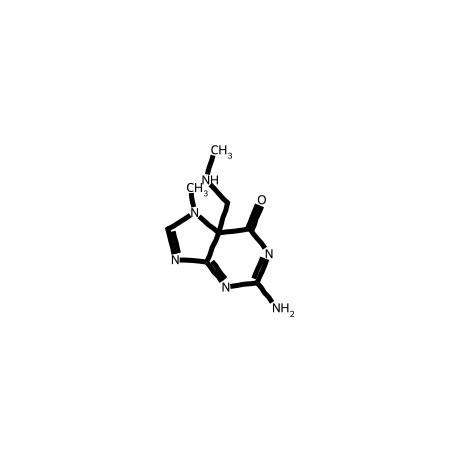 CNCC12C(=O)N=C(N)N=C1N=CN2C